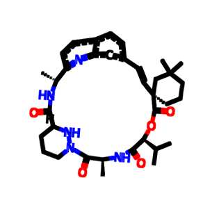 CC(C)[C@@H]1OC(=O)[C@]2(/C=C/c3ccc4ccc(nc4c3)[C@@H](C)NC(=O)[C@@H]3CCCN(N3)C(=O)[C@H](C)NC1=O)CCCC(C)(C)C2